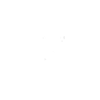 C=CC=C.O=C(O)P(O)O